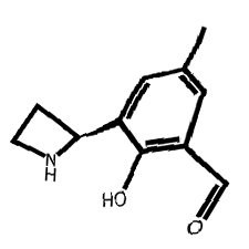 Cc1cc(C=O)c(O)c([C@@H]2CCN2)c1